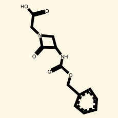 O=C(O)CN1CC(NC(=O)OCc2ccccc2)C1=O